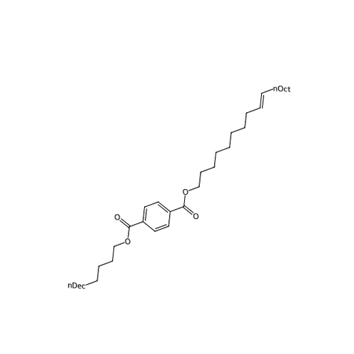 CCCCCCCCC=CCCCCCCCCOC(=O)c1ccc(C(=O)OCCCCCCCCCCCCCC)cc1